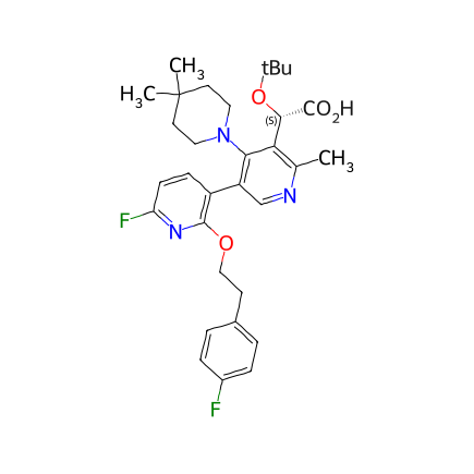 Cc1ncc(-c2ccc(F)nc2OCCc2ccc(F)cc2)c(N2CCC(C)(C)CC2)c1[C@H](OC(C)(C)C)C(=O)O